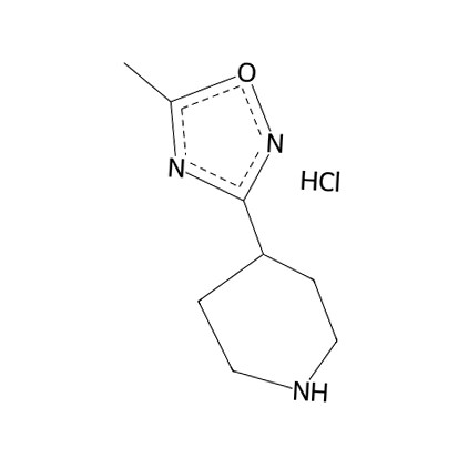 Cc1nc(C2CCNCC2)no1.Cl